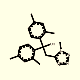 Cc1ccc(C(O)(Cc2nnnn2C)c2ccc(C)cc2C)c(C)c1